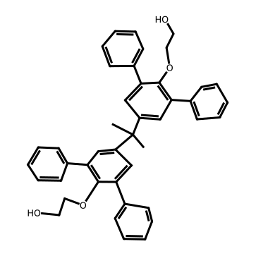 CC(C)(c1cc(-c2ccccc2)c(OCCO)c(-c2ccccc2)c1)c1cc(-c2ccccc2)c(OCCO)c(-c2ccccc2)c1